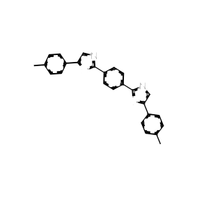 Cc1ccc(-c2cnc(-c3ccc(-c4ncc(-c5ccc(C)cc5)o4)cc3)o2)cc1